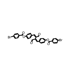 O=CC(=C/c1ccc(OC(=O)c2ccc(Br)cc2)cc1)/C(C=O)=C\c1ccc(OC(=O)c2ccc(Br)cc2)cc1